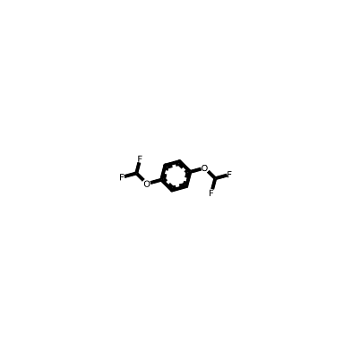 FC(F)Oc1ccc(OC(F)F)cc1